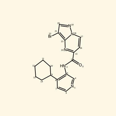 O=C(Nc1cnccc1C1CCCCC1)c1ccn2ncc(Br)c2n1